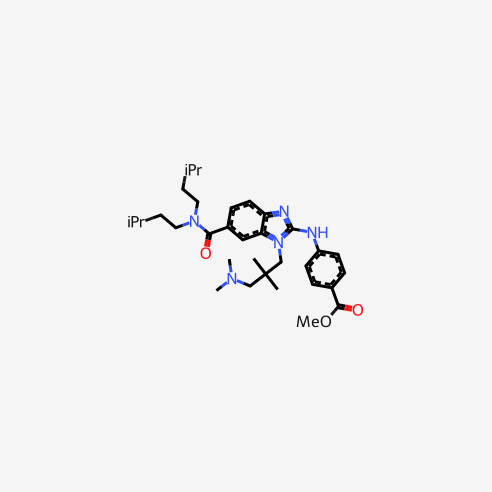 COC(=O)c1ccc(Nc2nc3ccc(C(=O)N(CCC(C)C)CCC(C)C)cc3n2CC(C)(C)CN(C)C)cc1